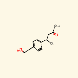 CCC(CC(=O)OC)c1ccc(CO)cc1